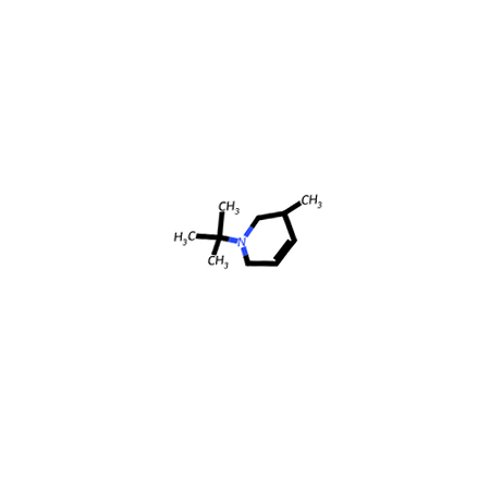 CC1C=CCN(C(C)(C)C)C1